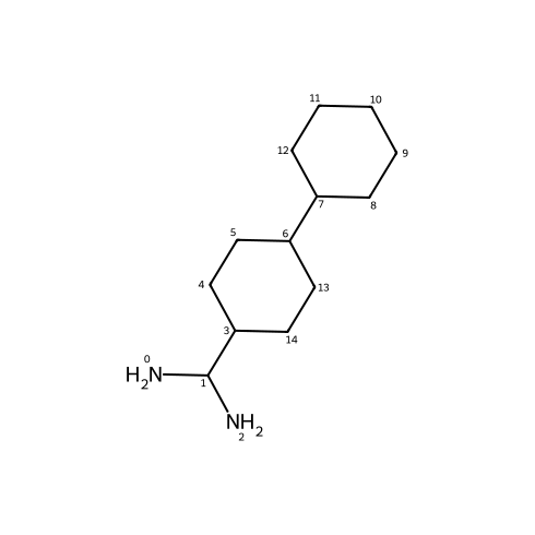 NC(N)C1CCC(C2CCCCC2)CC1